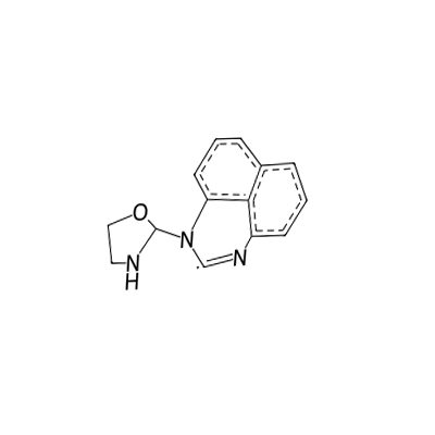 [C]1=Nc2cccc3cccc(c23)N1C1NCCO1